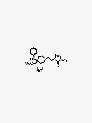 CCn1nnn(CCN2CCC(COC)(Nc3ccccc3)CC2)c1=O.Cl.Cl